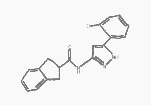 O=C(Nc1cc(-c2ccccc2Cl)[nH]n1)C1Cc2ccccc2C1